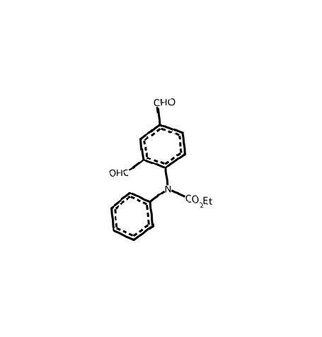 CCOC(=O)N(c1ccccc1)c1ccc(C=O)cc1C=O